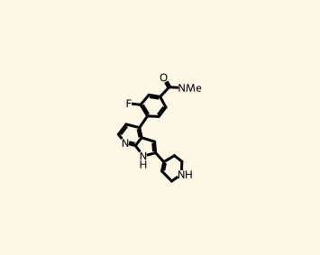 CNC(=O)c1ccc(-c2ccnc3[nH]c(C4=CCNCC4)cc23)c(F)c1